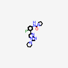 O=C(Nc1ccc(F)c(-c2ccn3c(N4CCCCC4)cnc3n2)c1)N1CCCC1